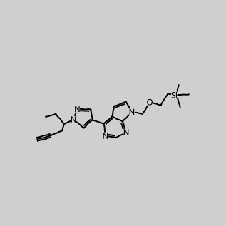 C#CCC(CC)n1cc(-c2ncnc3c2ccn3COCC[Si](C)(C)C)cn1